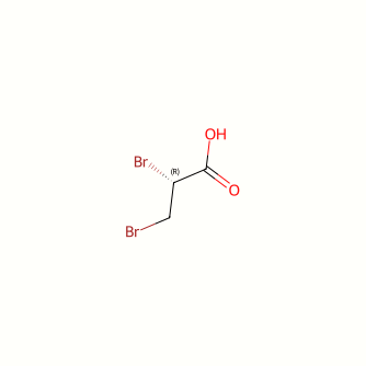 O=C(O)[C@@H](Br)CBr